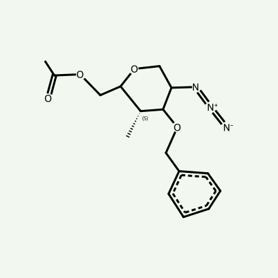 CC(=O)OCC1OCC(N=[N+]=[N-])C(OCc2ccccc2)[C@@H]1C